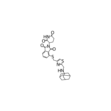 O=C1CCC(N2C(=O)c3cccc(SCc4csc(CNC56CC7CC(CC(C7)C5)C6)n4)c3C2=O)C(=O)N1